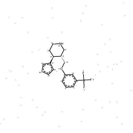 FC(F)(F)c1cccc(OC[C@H]2CNCC[C@@H]2c2ccsc2)c1